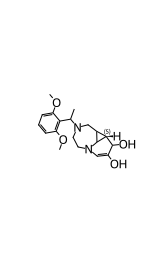 COc1cccc(OC)c1C(C)N1CCN2C=C(O)C(O)[C@H]3C(C1)C32